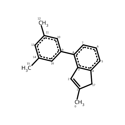 CC1=Cc2c(cccc2-c2cc(C)cc(C)c2)C1